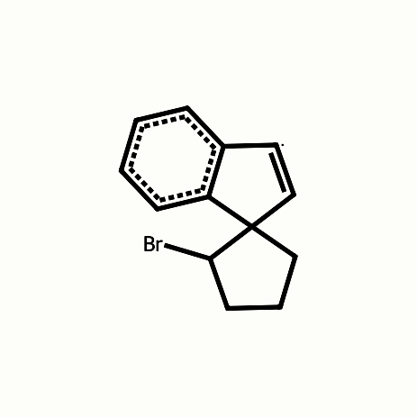 BrC1CCCC12C=[C]c1ccccc12